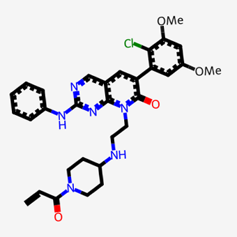 C=CC(=O)N1CCC(NCCn2c(=O)c(-c3cc(OC)cc(OC)c3Cl)cc3cnc(Nc4ccccc4)nc32)CC1